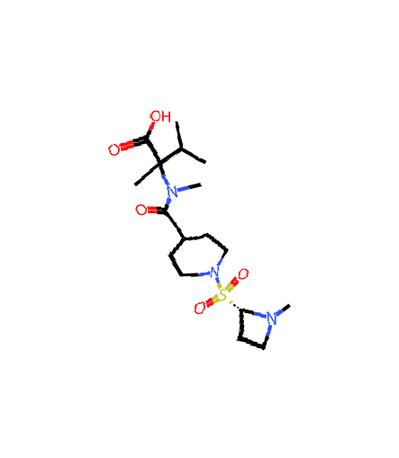 CC(C)C(C)(C(=O)O)N(C)C(=O)C1CCN(S(=O)(=O)[C@H]2CCN2C)CC1